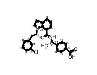 C[C@H](NC(=O)c1cccc2ccn(CCc3cccc(Cl)c3)c12)c1ccc(C(=O)O)cc1